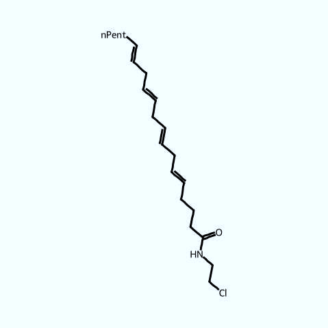 CCCCCC=CCC=CCC=CCC=CCCCC(=O)NCCCl